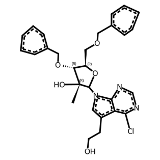 C[C@]1(O)C(n2cc(CCO)c3c(Cl)ncnc32)O[C@H](COCc2ccccc2)[C@H]1OCc1ccccc1